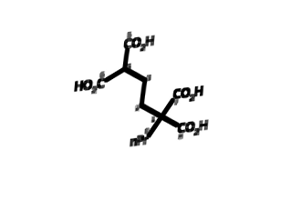 [CH2]CCC(CCC(C(=O)O)C(=O)O)(C(=O)O)C(=O)O